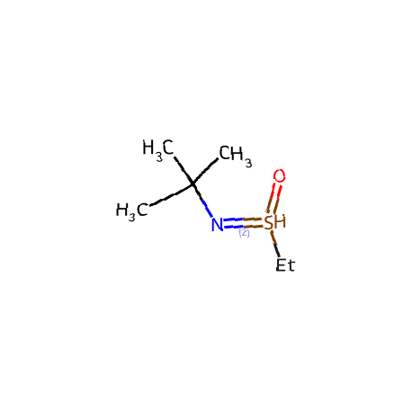 CC/[SH](=O)=N/C(C)(C)C